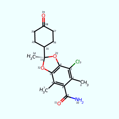 Cc1c(Cl)c2c(c(C)c1C(N)=O)O[C@@](C)(C1CCC(=O)CC1)O2